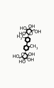 Cc1cc([C@H]2O[C@H](CO)[C@@H](O)[C@H](O)[C@@H]2O)ccc1-c1ccc([C@H]2O[C@H](CO)[C@@H](O)[C@H](O)[C@@H]2O)c(C)c1